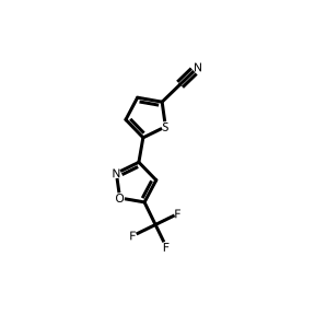 N#Cc1ccc(-c2cc(C(F)(F)F)on2)s1